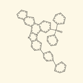 O=P(c1ccccc1)(c1ccccc1)c1ccc2c3cc4ccccc4cc3c3nc4ccc(-c5ccc(-c6ccccc6)cc5)cc4n3c2c1